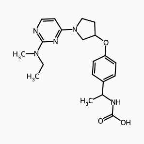 CCN(C)c1nccc(N2CCC(Oc3ccc(C(C)NC(=O)O)cc3)C2)n1